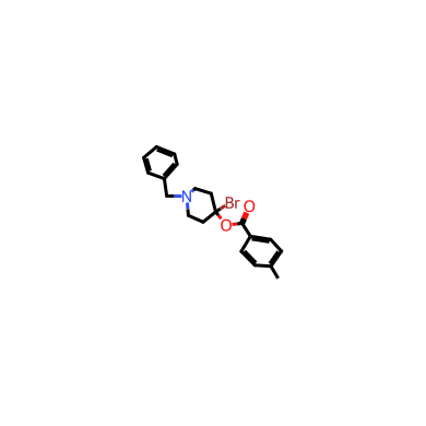 Cc1ccc(C(=O)OC2(Br)CCN(Cc3ccccc3)CC2)cc1